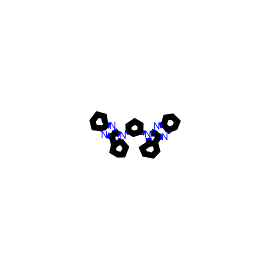 c1cc(-n2c3ccccc3c3nc4ccccc4nc32)cc(-n2c3ccccc3c3nc4ccccc4nc32)c1